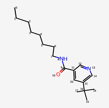 CCCCCCCCNC(=O)c1cncc(C(C)(C)C)c1